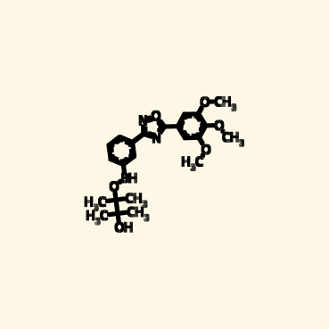 COc1cc(-c2nc(-c3cccc(BOC(C)(C)C(C)(C)O)c3)no2)cc(OC)c1OC